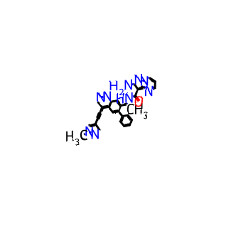 CC(NC(=O)c1c(N)nn2cccnc12)c1cc2nncc(C#Cc3cnn(C)c3)c2cc1-c1ccccc1